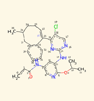 C=CC(=O)Nc1cnc(OC(C)C)c(Nc2ncc(Cl)c(/C3=C/CCC(C)Cc4ccccc43)n2)c1